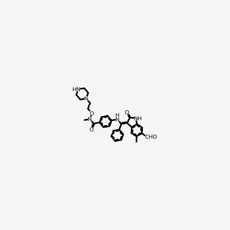 Cc1cc2c(cc1C=O)NC(=O)/C2=C(\Nc1ccc(C(=O)N(C)OCCN2CCNCC2)cc1)c1ccccc1